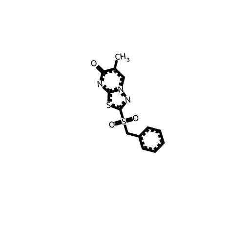 Cc1cn2nc(S(=O)(=O)Cc3ccccc3)sc2nc1=O